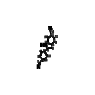 N#Cc1ccc(-c2cc3ccc(C#N)cc3[nH]2)cc1